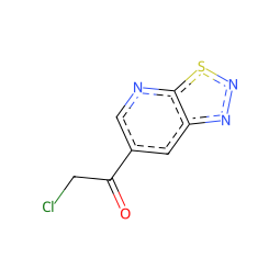 O=C(CCl)c1cnc2snnc2c1